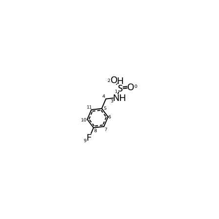 O=[SH](=O)NCc1ccc(F)cc1